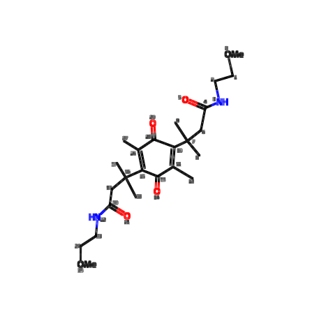 COCCNC(=O)CC(C)(C)C1=C(C)C(=O)C(C(C)(C)CC(=O)NCCOC)=C(C)C1=O